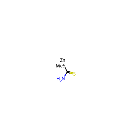 CSC(N)=S.[Zn]